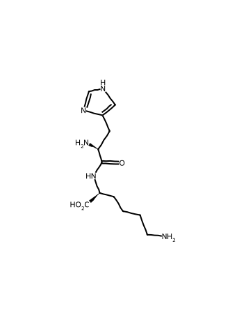 NCCCC[C@H](NC(=O)[C@@H](N)Cc1c[nH]cn1)C(=O)O